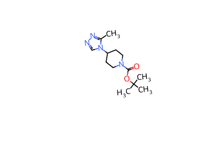 Cc1nncn1C1CCN(C(=O)OC(C)(C)C)CC1